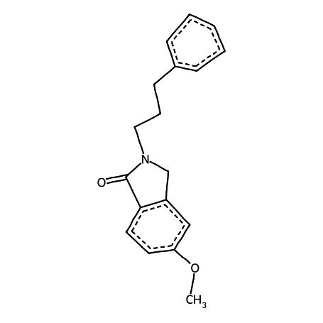 COc1ccc2c(c1)CN(CCCc1ccccc1)C2=O